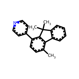 Cc1ccc(-c2ccncc2)c2c1-c1ccccc1C2(C)C